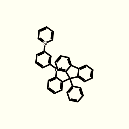 c1ccc(C2(c3ccccc3Nc3cccc(-[si]4ccccc4)c3)c3ccccc3-c3ccccc32)cc1